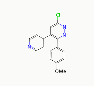 COc1ccc(-c2nnc(Cl)cc2-c2ccncc2)cc1